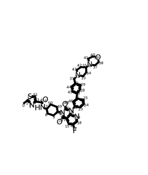 Cc1nc(C(=O)NC2CCC(n3c(=O)c4cc(F)cnc4n(-c4cccc(-c5ccc(CN6CCC(N7CCOCC7)CC6)cc5)c4)c3=O)CC2)cs1